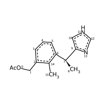 CC(=O)OCc1cccc([C@H](C)c2c[nH]cn2)c1C